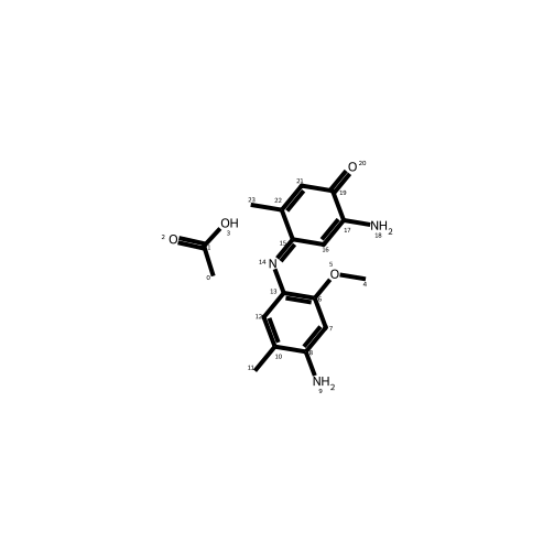 CC(=O)O.COc1cc(N)c(C)cc1N=C1C=C(N)C(=O)C=C1C